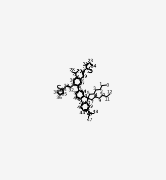 CCCCCCC1(CCCCCC)c2cc(-c3cc(/C=C/c4cccs4)c(C(C)C)cc3/C=C/c3cccs3)ccc2-c2ccc(C(C)C)cc21